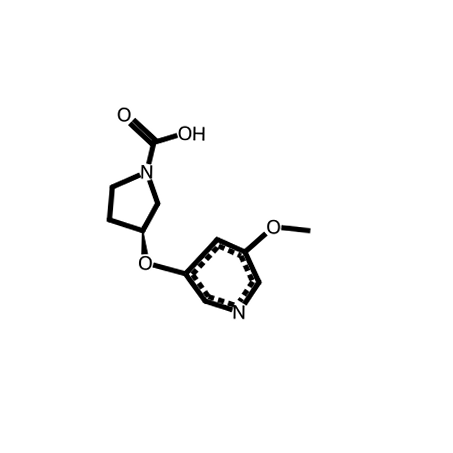 COc1cncc(O[C@H]2CCN(C(=O)O)C2)c1